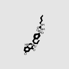 CCCCNC(=O)NS(=O)(=O)c1ccc(CC(CC)[N+]2([O-])CNc3ccc(Cl)cc3C2=O)cc1